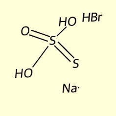 Br.O=S(O)(O)=S.[Na]